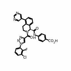 O=C(O)c1ccc(NC(=O)[C@@H]2c3cccc(-c4cncnc4)c3CCN2C(=O)c2cn(-c3cccc(Cl)c3F)nn2)cc1